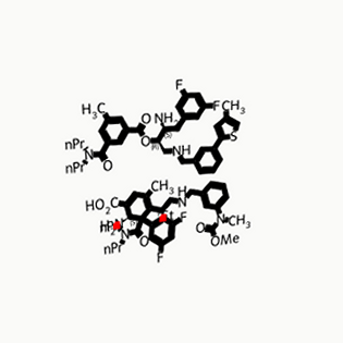 CCCN(CCC)C(=O)C1(c2cc(F)cc(F)c2)C([C@@H](CC)CNCc2cccc(N(C)C(=O)OC)c2)=C(C)C=C(C(=O)O)[C@H]1N.CCCN(CCC)C(=O)c1cc(C)cc(C(=O)O[C@H](CNCc2cccc(-c3cc(C)cs3)c2)[C@@H](N)Cc2cc(F)cc(F)c2)c1